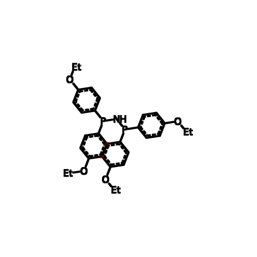 CCOc1ccc(P(NP(c2ccc(OCC)cc2)c2ccc(OCC)cc2)c2ccc(OCC)cc2)cc1